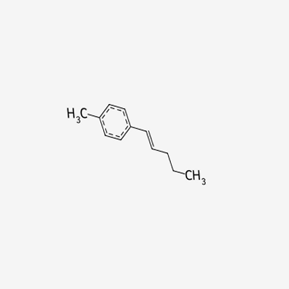 CCC/C=C/c1ccc(C)cc1